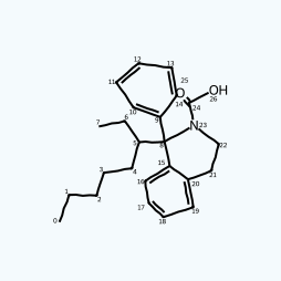 CCCCCC(CC)C1(c2ccccc2)c2ccccc2CCN1C(=O)O